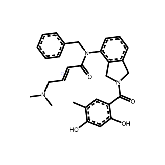 Cc1cc(C(=O)N2Cc3cccc(N(Cc4ccccc4)C(=O)/C=C/CN(C)C)c3C2)c(O)cc1O